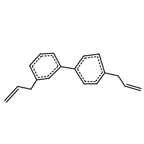 C=CCc1ccc(-c2cccc(CC=C)c2)cc1